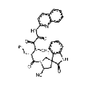 CC(C)C[C@@H](C(=O)N1C[C@]2(C[C@H]1C#N)C(=O)Nc1ccccc12)N(C)C(=O)C(=O)Nc1ccc2ccccc2n1